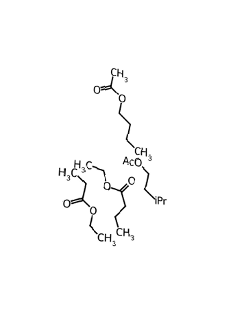 CC(=O)OCCC(C)C.CCCC(=O)OCC.CCCCOC(C)=O.CCOC(=O)CC